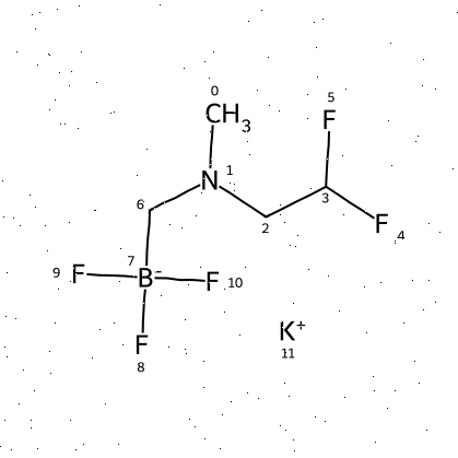 CN(CC(F)F)C[B-](F)(F)F.[K+]